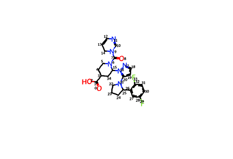 O=C(O)C1CCN(C(=O)N2C=NC=CC2)C(n2nccc2N2CCCC2c2cc(F)ccc2F)C1